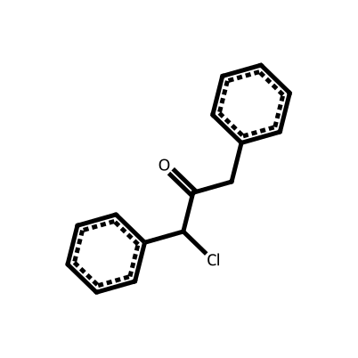 O=C(Cc1ccccc1)C(Cl)c1ccccc1